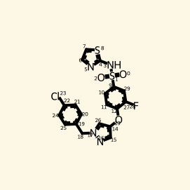 O=S(=O)(Nc1nccs1)c1ccc(Oc2cnn(Cc3ccc(Cl)cc3)c2)c(F)c1